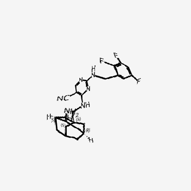 N#Cc1cnc(NCc2cc(F)cc(F)c2F)nc1NC[C@]12CC3C[C@H](C1)[C@@H](N)[C@@H](C3)C2